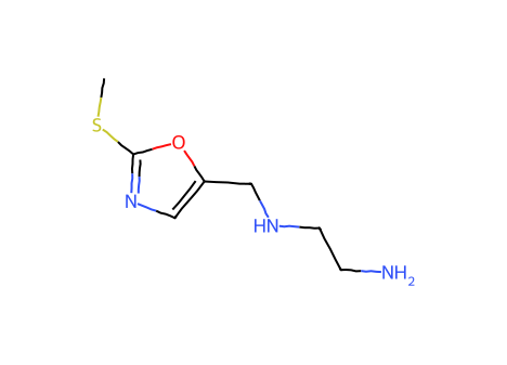 CSc1ncc(CNCCN)o1